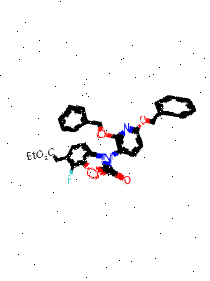 CCOC(=O)Cc1ccc2c(oc(=O)n2-c2ccc(OCc3ccccc3)nc2OCc2ccccc2)c1F